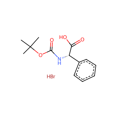 Br.CC(C)(C)OC(=O)N[C@H](C(=O)O)c1ccccc1